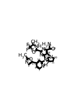 Cc1ncc(-c2ccnc(N3c4nc(C(=O)N[C@H](C)C(F)(F)F)nc(C(N)=O)c4N4CC[C@H]3C4)c2)o1